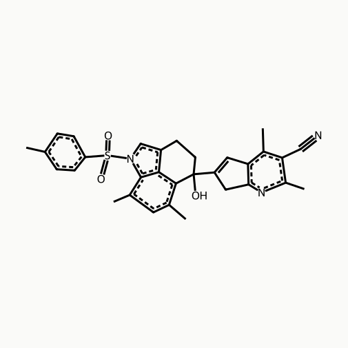 Cc1ccc(S(=O)(=O)n2cc3c4c(c(C)cc(C)c42)C(O)(C2=Cc4c(nc(C)c(C#N)c4C)C2)CC3)cc1